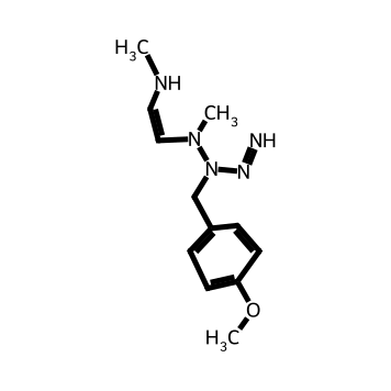 CN/C=C\N(C)N(Cc1ccc(OC)cc1)N=N